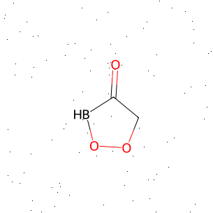 O=C1BOOC1